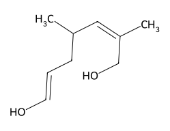 CC(=CC(C)CC=CO)CO